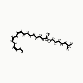 CC/C=C\C/C=C\C/C=C\CCCCCCCC(=O)OCCCCCC(C)C